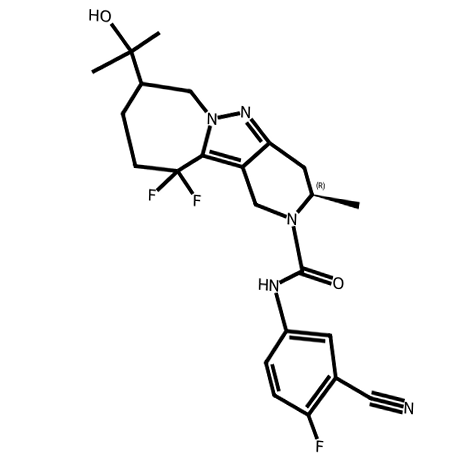 C[C@@H]1Cc2nn3c(c2CN1C(=O)Nc1ccc(F)c(C#N)c1)C(F)(F)CCC(C(C)(C)O)C3